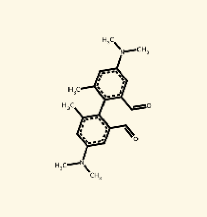 Cc1cc(N(C)C)cc(C=O)c1-c1c(C)cc(N(C)C)cc1C=O